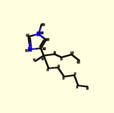 CCCCCCC(C)(CCCC)c1cn(C)cn1